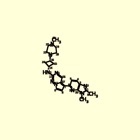 Cc1nc2ccc(-c3ccn4nc(N[C@H]5C[C@H](N6CCN(C)CC6)C5)ncc34)nc2n1C